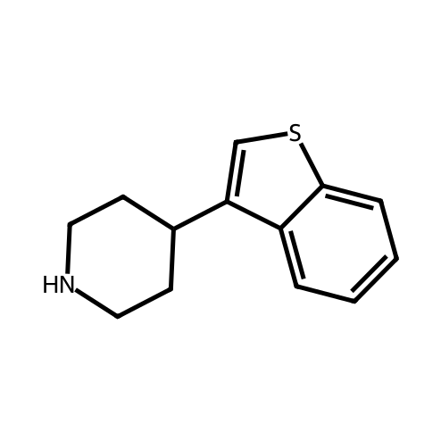 c1ccc2c(C3CCNCC3)csc2c1